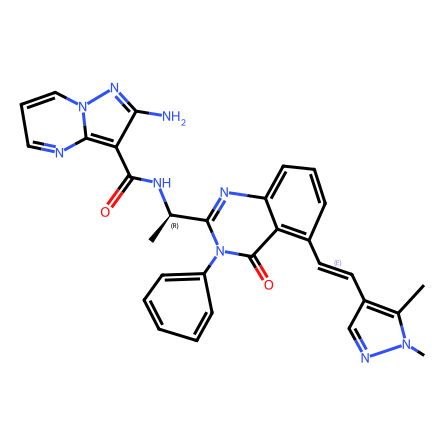 Cc1c(/C=C/c2cccc3nc([C@@H](C)NC(=O)c4c(N)nn5cccnc45)n(-c4ccccc4)c(=O)c23)cnn1C